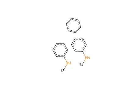 CCPc1ccccc1.CCPc1ccccc1.c1ccccc1